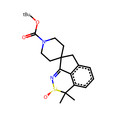 CC(C)(C)OC(=O)N1CCC2(CC1)Cc1cccc3c1C2=N[S@+]([O-])C3(C)C